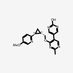 COc1ccc([C@H]2C[C@@H]2COc2nc(C)ncc2-c2cnc(O)nc2)nc1